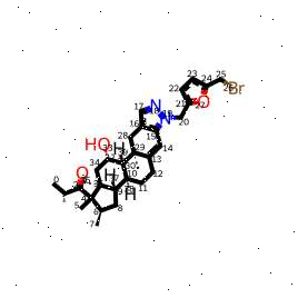 CCC(=O)C1(C)[C@H](C)C[C@H]2[C@@H]3CCC4=Cc5c(cnn5Cc5ccc(CBr)o5)C[C@]4(C)[C@H]3[C@@H](O)C[C@@]21C